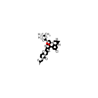 CC(C)(C)OC(=O)N1CC[C@@H](N2C[C@H]3C[C@H]3c3cc(Cl)cc(-c4ccnc5cc(Cn6c(=O)ccn(CC(F)F)c6=O)sc45)c32)C1